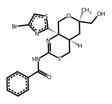 C[C@]1(CO)C[C@H]2CSC(NC(=O)c3ccccc3)=N[C@@]2(c2nc(Br)cs2)CO1